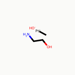 NCCO.[CH3][Pt+].[OH-]